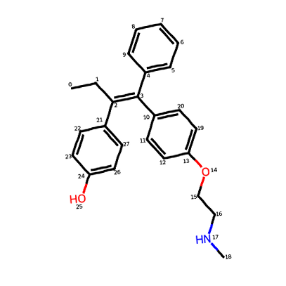 CC/C(=C(\c1ccccc1)c1ccc(OCCNC)cc1)c1ccc(O)cc1